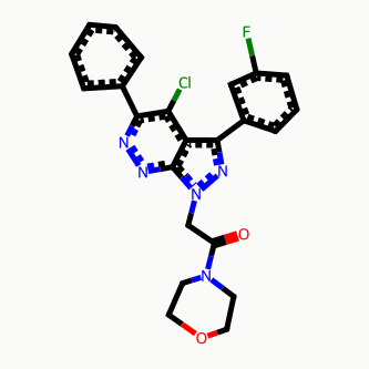 O=C(Cn1nc(-c2cccc(F)c2)c2c(Cl)c(-c3ccccc3)nnc21)N1CCOCC1